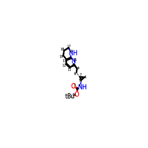 CC(C)(C)OC(=O)N[C@@H]1C[C@H]1CCc1ccc2c(n1)NCCC2